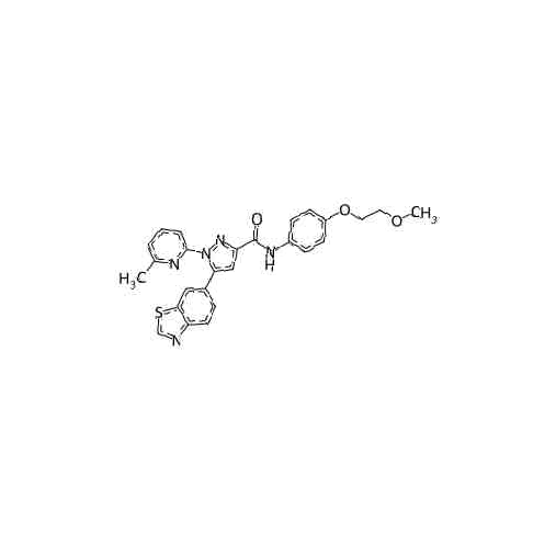 COCCOc1ccc(NC(=O)c2cc(-c3ccc4ncsc4c3)n(-c3cccc(C)n3)n2)cc1